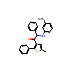 COc1cccc(NC(C(=O)c2cc(C)sc2-c2ccccc2)c2ccccc2)c1